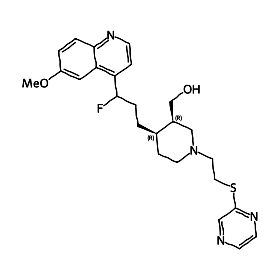 COc1ccc2nccc(C(F)CC[C@@H]3CCN(CCSc4cnccn4)C[C@@H]3CO)c2c1